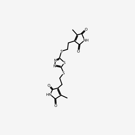 CC1=C(CCSc2nnc(SCCC3=C(C)C(=O)NC3=O)s2)C(=O)NC1=O